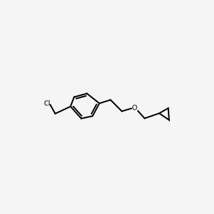 ClCc1ccc(CCOCC2CC2)cc1